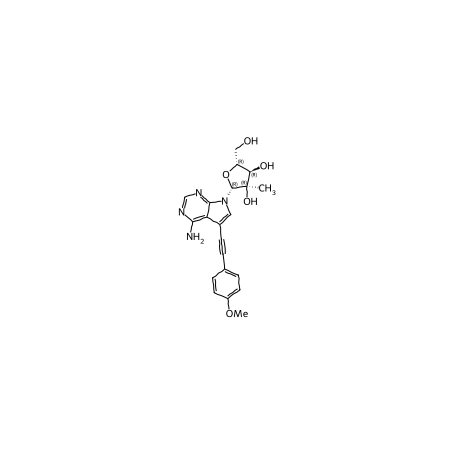 COc1ccc(C#Cc2cn([C@@H]3O[C@H](CO)[C@@H](O)[C@@]3(C)O)c3ncnc(N)c23)cc1